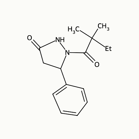 CCC(C)(C)C(=O)N1NC(=O)CC1c1ccccc1